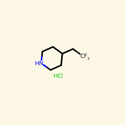 Cl.FC(F)(F)CC1CCNCC1